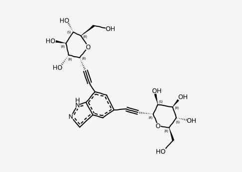 OC[C@H]1O[C@H](C#Cc2cc(C#C[C@H]3O[C@H](CO)[C@@H](O)[C@H](O)[C@@H]3O)cc3cn[nH]c23)[C@H](O)[C@@H](O)[C@@H]1O